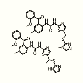 COc1ccccc1C(=O)c1cc(C)ccc1NC(=O)Nc1ncc(C(C)Sc2ncc[nH]2)s1.COc1ccccc1C(=O)c1cc(C)ccc1NC(=O)Nc1ncc(CSc2nncn2C)s1